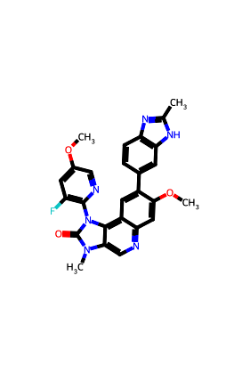 COc1cnc(-n2c(=O)n(C)c3cnc4cc(OC)c(-c5ccc6nc(C)[nH]c6c5)cc4c32)c(F)c1